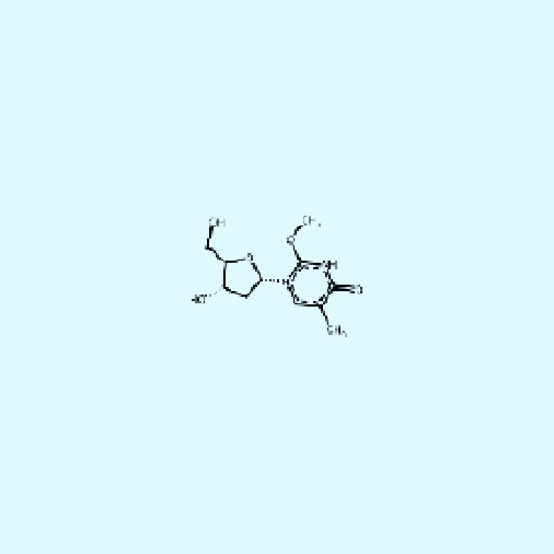 COc1[nH]c(=O)c(C)c[n+]1[C@@H]1C[C@H](O)[C@@H](CO)O1